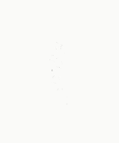 CCc1cc(Nc2nccn3c(-c4cn(CC(F)F)nc4C(F)(F)F)cnc23)ccc1C(=O)NC1C2CNCC21